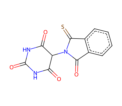 O=C1NC(=O)C(N2C(=O)c3ccccc3C2=S)C(=O)N1